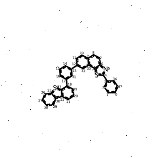 c1ccc(-c2nc3ccc4ccc(-c5cccc(-c6cccc7c6sc6ccccc67)c5)cc4c3s2)cc1